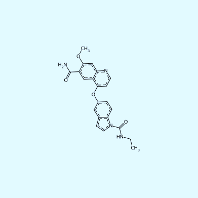 CCNC(=O)n1ccc2cc(Oc3ccnc4cc(OC)c(C(N)=O)cc34)ccc21